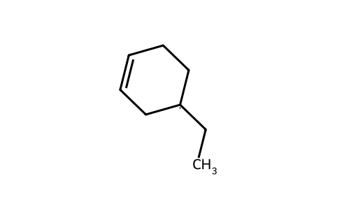 CC[C]1CC=CCC1